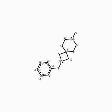 CN1CCC2(CC1)CN(Cc1cccnc1)C2